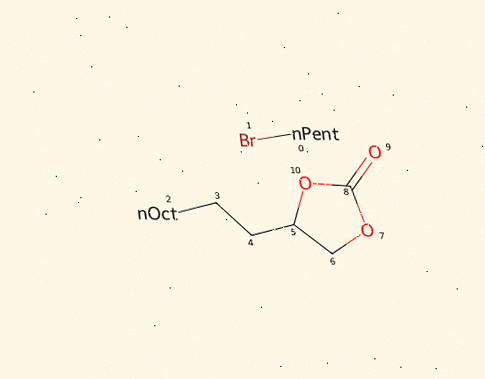 CCCCCBr.CCCCCCCCCCC1COC(=O)O1